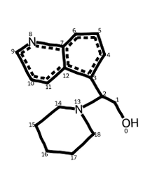 OCC(c1cccc2ncccc12)N1CCCCC1